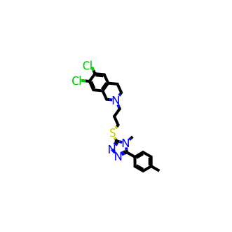 Cc1ccc(-c2nnc(SCCCN3CCc4cc(Cl)c(Cl)cc4C3)n2C)cc1